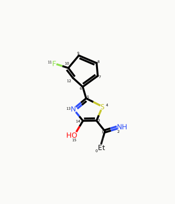 CCC(=N)c1sc(-c2cccc(F)c2)nc1O